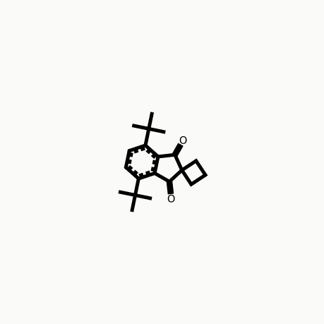 CC(C)(C)c1ccc(C(C)(C)C)c2c1C(=O)C1(CCC1)C2=O